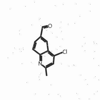 Cc1cc(Cl)c2cc(C=O)ccc2n1